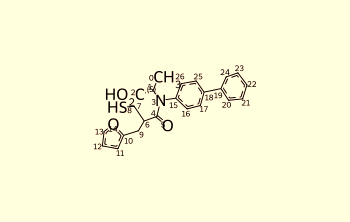 C[C@@H](C(=O)O)N(C(=O)C(CS)Cc1ccco1)c1ccc(-c2ccccc2)cc1